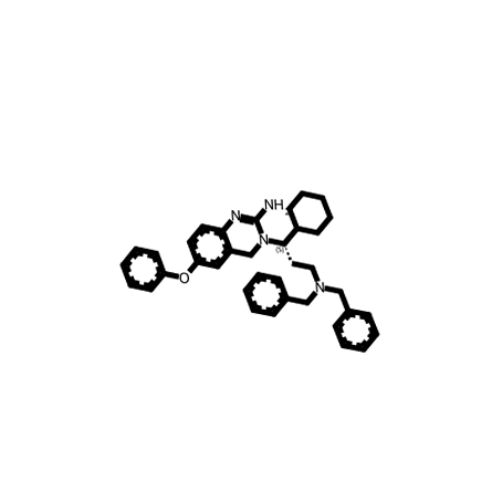 NC1=Nc2ccc(Oc3ccccc3)cc2CN1[C@@H](CCN(Cc1ccccc1)Cc1ccccc1)C1CCCCC1